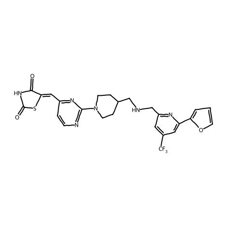 O=C1NC(=O)/C(=C/c2ccnc(N3CCC(CNCc4cc(C(F)(F)F)cc(-c5ccco5)n4)CC3)n2)S1